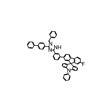 N=C(/N=C(\N=C\c1ccccc1)c1ccc(-c2ccccc2)cc1)c1cccc(-c2ccc3c(c2)C2(c4cc(F)ccc4-3)c3ccccc3N(c3ccccc3)c3ccccc32)c1